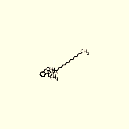 CCCCCCCCCCCCCCCC[N+](C)(C)C(CC)(CC)c1ccccc1CC.[I-]